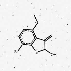 C=C1c2c(CC)ccc(Br)c2SC1O